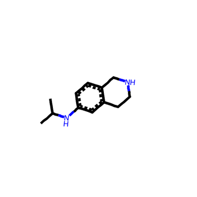 CC(C)Nc1ccc2c(c1)CCNC2